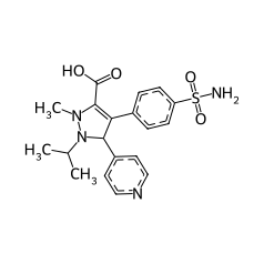 CC(C)N1C(c2ccncc2)C(c2ccc(S(N)(=O)=O)cc2)=C(C(=O)O)N1C